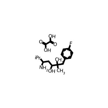 CC(C)C(N)CC(O)C(C)(C)Cc1ccc(F)cc1.O=C(O)C(=O)O